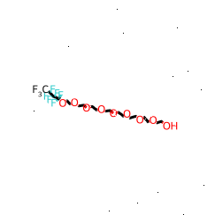 OCCOCCOCCOCCOCCOCCOCCOCCOC(F)(F)C(F)(F)C(F)(F)C(F)(F)F